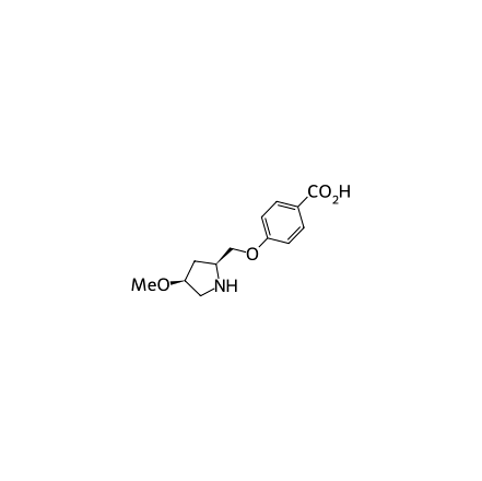 CO[C@@H]1CN[C@H](COc2ccc(C(=O)O)cc2)C1